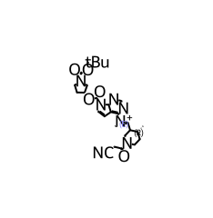 C[C@@H]1CCN(C(=O)CC#N)CC1/C=[N+](\C)c1ncnc2c1ccn2C(=O)OC1CCN(C(=O)OC(C)(C)C)C1